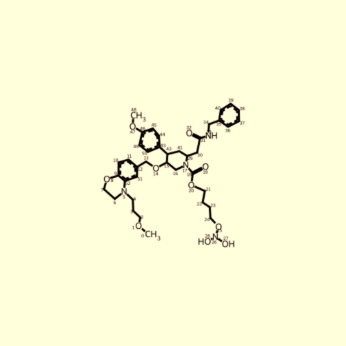 COCCCN1CCOc2ccc(COC3CN(C(=O)OCCCCON(O)O)C(CC(=O)NCc4ccccc4)CC3c3ccc(OC)cc3)cc21